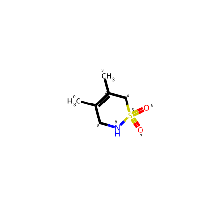 CC1=C(C)CS(=O)(=O)NC1